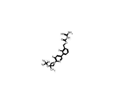 [2H]C([2H])([2H])OC1(C)CN(c2ncc(-c3cccc(COC(=O)NC(=N)N)c3F)cc2F)C1